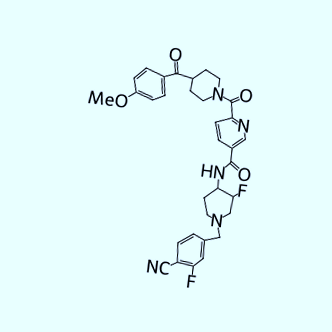 COc1ccc(C(=O)C2CCN(C(=O)c3ccc(C(=O)NC4CCN(Cc5ccc(C#N)c(F)c5)CC4F)cn3)CC2)cc1